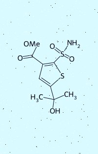 COC(=O)c1cc(C(C)(C)O)sc1S(N)(=O)=O